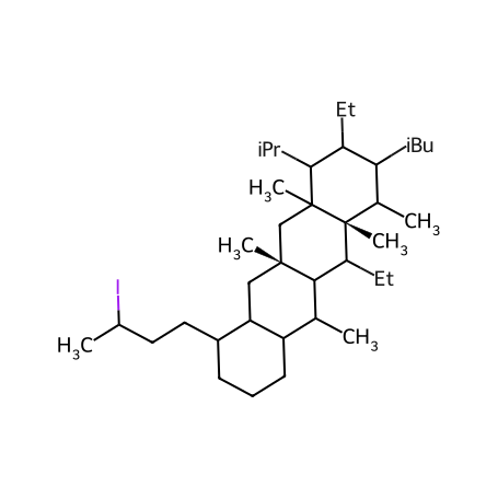 CCC(C)C1C(CC)C(C(C)C)C2(C)C[C@@]3(C)CC4C(CCC(C)I)CCCC4C(C)C3C(CC)[C@@]2(C)C1C